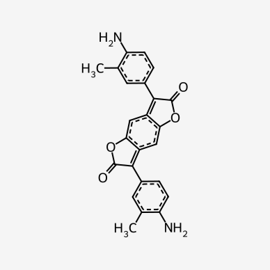 Cc1cc(C2=c3cc4c(cc3OC2=O)=C(c2ccc(N)c(C)c2)C(=O)O4)ccc1N